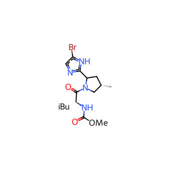 CC[C@H](C)[C@H](NC(=O)OC)C(=O)N1C[C@@H](C)CC1c1ncc(Br)[nH]1